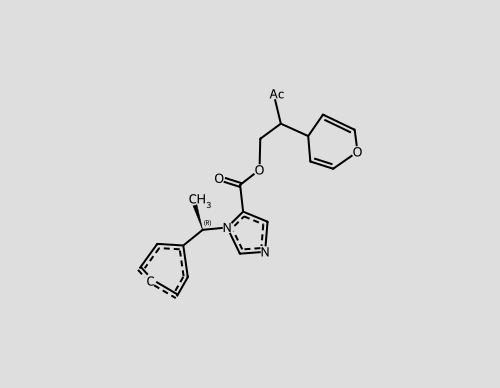 CC(=O)C(COC(=O)c1cncn1[C@H](C)c1ccccc1)C1C=COC=C1